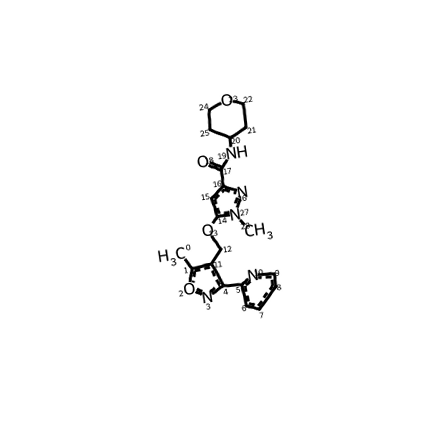 Cc1onc(-c2ccccn2)c1COc1cc(C(=O)NC2CCOCC2)nn1C